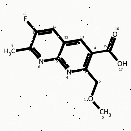 COCc1nc2nc(C)c(F)cc2cc1C(=O)O